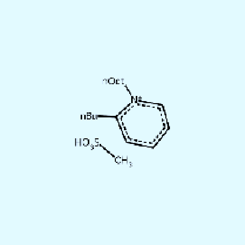 CCCCCCCC[n+]1ccccc1CCCC.CS(=O)(=O)O